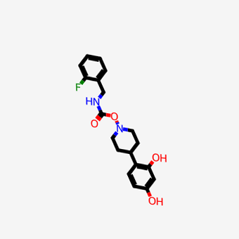 O=C(NCc1ccccc1F)ON1CCC(c2ccc(O)cc2O)CC1